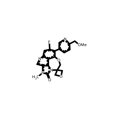 COCc1ccc(-c2c(F)cc3ncc4c5c3c2OCC2(COC2)n5c(=O)n4C)cn1